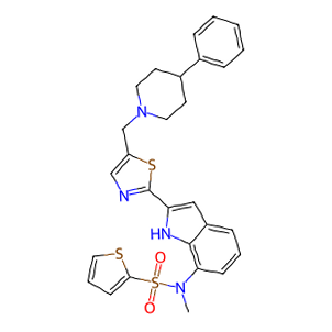 CN(c1cccc2cc(-c3ncc(CN4CCC(c5ccccc5)CC4)s3)[nH]c12)S(=O)(=O)c1cccs1